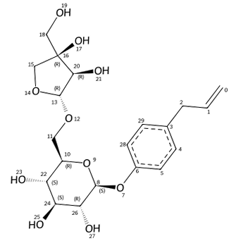 C=CCc1ccc(O[C@@H]2O[C@H](CO[C@@H]3OC[C@](O)(CO)[C@H]3O)[C@@H](O)[C@H](O)[C@H]2O)cc1